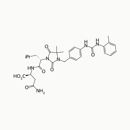 Cc1ccccc1NC(=O)Nc1ccc(CN2C(=O)N([C@@H](CC(C)C)C(=O)N[C@@H](CC(N)=O)C(=O)O)C(=O)C2(C)C)cc1